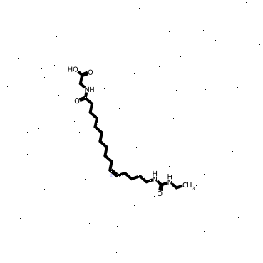 CCNC(=O)NCCCC/C=C\CCCCCCCCCC(=O)NCC(=O)O